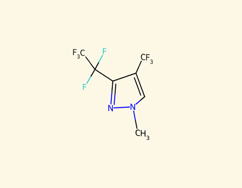 Cn1cc(C(F)(F)F)c(C(F)(F)C(F)(F)F)n1